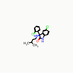 CC(C)CCNC1(c2ccccc2Cl)C(=O)Nc2ccc(Cl)cc21